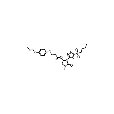 CCCCS(=O)(=O)c1nnc(N2C(=O)N(C)CC2OC(=O)CCOc2ccc(SCCC)cc2)s1